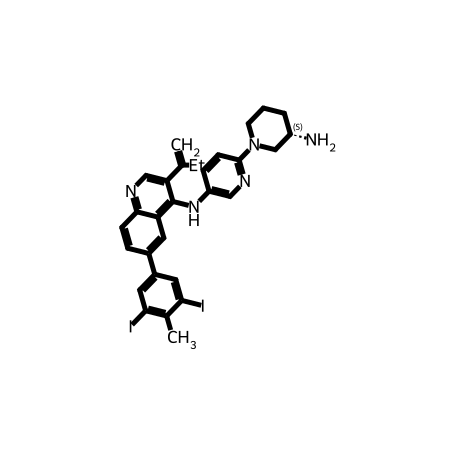 C=C(CC)c1cnc2ccc(-c3cc(I)c(C)c(I)c3)cc2c1Nc1ccc(N2CCC[C@H](N)C2)nc1